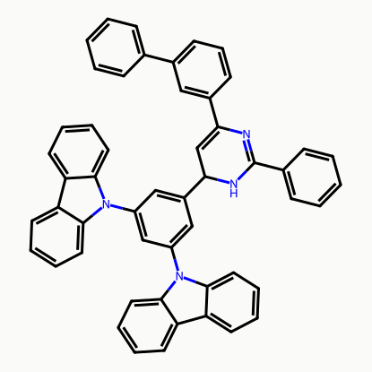 C1=C(c2cccc(-c3ccccc3)c2)N=C(c2ccccc2)NC1c1cc(-n2c3ccccc3c3ccccc32)cc(-n2c3ccccc3c3ccccc32)c1